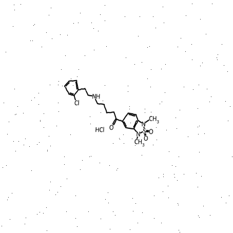 CN1c2ccc(C(=O)CCCCNCCc3ccccc3Cl)cc2N(C)S1(=O)=O.Cl